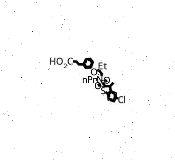 CCCN(CC(CC)Oc1cccc(CCC(=O)O)c1)S(=O)(=O)C1Sc2ccc(Cl)cc2C1C